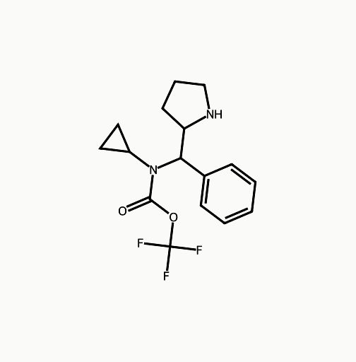 O=C(OC(F)(F)F)N(C1CC1)C(c1ccccc1)C1CCCN1